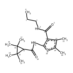 CCCNC(=O)c1c(NC(=O)C2C(C)(C)C2(C)C)sc(C)c1C